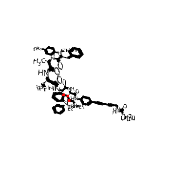 CCN(CC)CCCC[C@H](NC(=O)[C@H](CC(C)C)NC(=O)[C@H](C)NC(=O)[C@H](Cc1ccccc1)N(C=O)c1ccc(C(C)(C)C)cc1)C(=O)N[C@@H](CO[Si](c1ccccc1)(c1ccccc1)C(C)(C)C)C(=O)Nc1ccc(C#CC#CCNC(=O)OC(C)(C)C)cc1